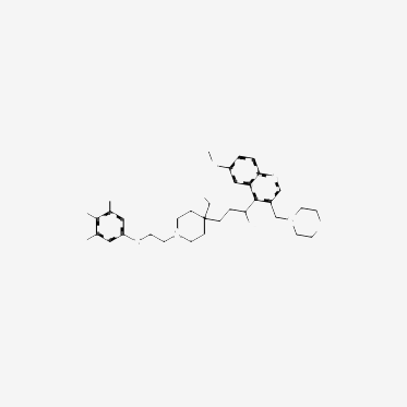 COc1ccc2ncc(CN3CCOCC3)c(C(O)CCC3(CO)CCN(CCNc4cc(F)c(F)c(F)c4)CC3)c2c1